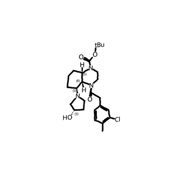 Cc1ccc(CC(=O)N2CCN(C(=O)OC(C)(C)C)[C@H]3CCC[C@H](N4CC[C@H](O)C4)[C@H]32)cc1Cl